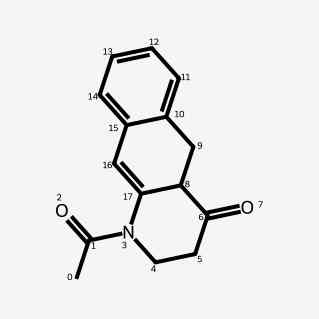 CC(=O)N1CCC(=O)C2Cc3ccccc3C=C21